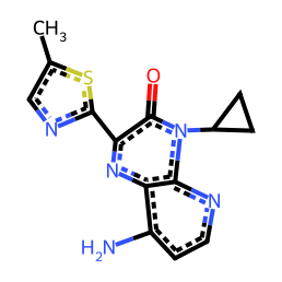 Cc1cnc(-c2nc3c(N)ccnc3n(C3CC3)c2=O)s1